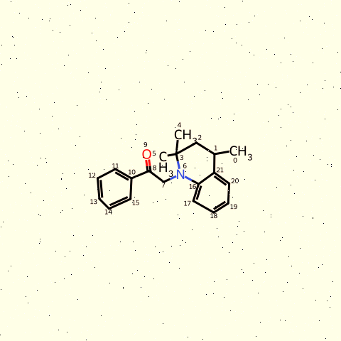 CC1CC(C)(C)N(CC(=O)c2ccccc2)c2ccccc21